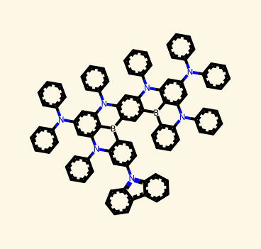 c1ccc(N(c2ccccc2)c2cc3c4c(c2)N(c2ccccc2)c2cc5c(cc2B4c2ccccc2N3c2ccccc2)B2c3ccc(-n4c6ccccc6c6ccccc64)cc3N(c3ccccc3)c3cc(N(c4ccccc4)c4ccccc4)cc(c32)N5c2ccccc2)cc1